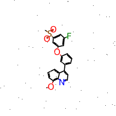 COc1cccc2c(-c3cccc(Oc4cc(F)cc(S(C)(=O)=O)c4)c3)ccnc12